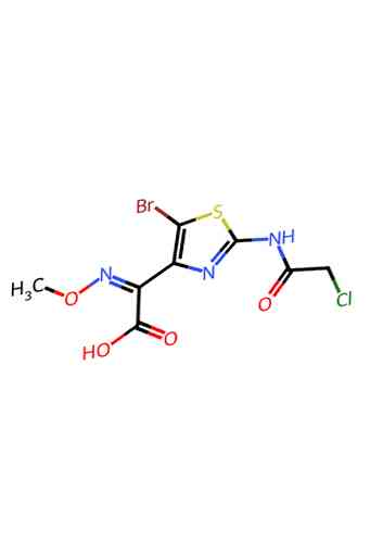 CO/N=C(\C(=O)O)c1nc(NC(=O)CCl)sc1Br